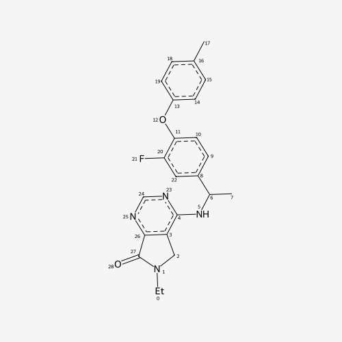 CCN1Cc2c(NC(C)c3ccc(Oc4ccc(C)cc4)c(F)c3)ncnc2C1=O